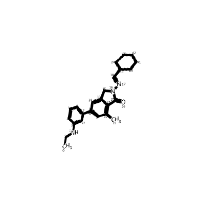 CCNc1cccc(-c2cc(C)c3c(c2)CN(N=CC2CCCCC2)C3=O)c1